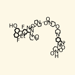 CCc1c(F)ccc2cc(O)cc(-c3ncc4c(N5CCC[C@]6(CCO6)C5)nc(OC[C@@]56CCCN5[C@H](COC(=O)N5CCC(OC7CCN(c8ccc9c(c8)n(C)c(=O)n9C8CCC(=O)NC8=O)CC7)CC5)CC6)nc4c3F)c12